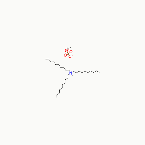 CCCCCCCCCC[N+](C)(CCCCCCCCCC)CCCCCCCCCC.O=S(=O)([O-])[O-].[H+]